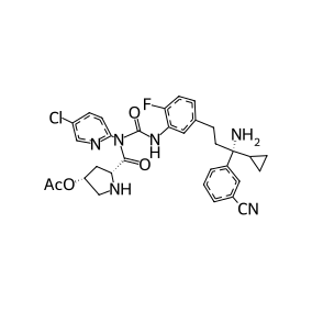 CC(=O)O[C@H]1CN[C@@H](C(=O)N(C(=O)Nc2cc(CC[C@](N)(c3cccc(C#N)c3)C3CC3)ccc2F)c2ccc(Cl)cn2)C1